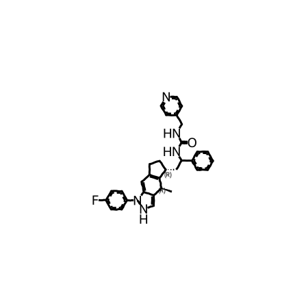 C[C@H]1C2=CNN(c3ccc(F)cc3)C2=CC2=C1[C@@H](CC(NC(=O)NCc1ccncc1)c1ccccc1)CC2